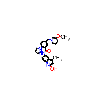 COC1CCCN(Cc2ccc(N3CCCC3)c(C(=O)Nc3ccc4nc(O)cc(C)c4c3)c2)C1